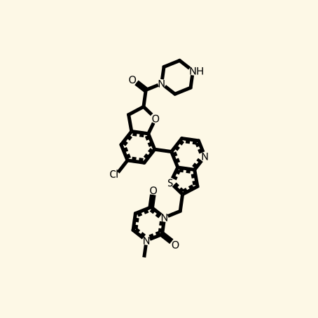 Cn1ccc(=O)n(Cc2cc3nccc(-c4cc(Cl)cc5c4OC(C(=O)N4CCNCC4)C5)c3s2)c1=O